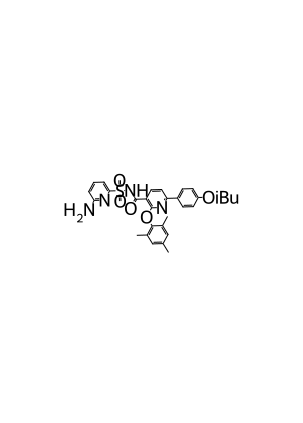 Cc1cc(C)c(Oc2nc(-c3ccc(OCC(C)C)cc3)ccc2C(=O)NS(=O)(=O)c2cccc(N)n2)c(C)c1